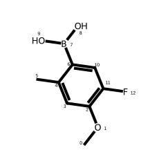 COc1cc(C)c(B(O)O)cc1F